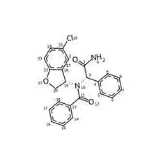 NC(=O)[C@H](c1ccccc1)N(C(=O)c1ccccc1)[C@@H]1COc2ccc(Cl)cc21